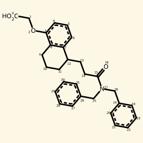 O=C(O)COc1cccc2c1CCCC2CCC(=O)N(Cc1ccccc1)Cc1ccccc1